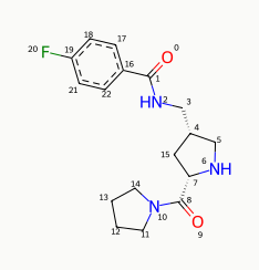 O=C(NC[C@@H]1CN[C@H](C(=O)N2CCCC2)C1)c1ccc(F)cc1